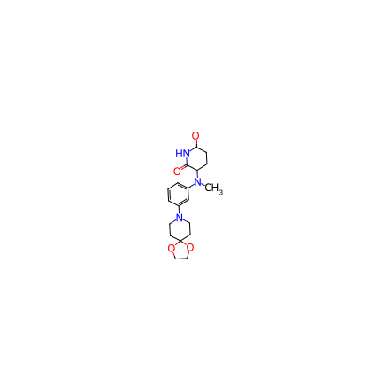 CN(c1cccc(N2CCC3(CC2)OCCO3)c1)C1CCC(=O)NC1=O